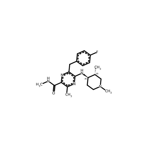 CNC(=O)c1nc(Cc2ccc(F)cc2)c(N[C@@H]2CCN(C)C[C@H]2C)nc1C